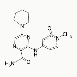 Cn1ccc(Nc2nc(N3CCCCC3)cnc2C(N)=O)cc1=O